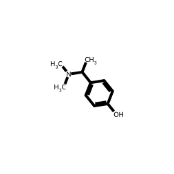 CC(c1ccc(O)cc1)N(C)C